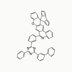 c1ccc(-c2cccc(-c3nc(-c4ccccc4)nc(-c4cccc(-c5nc6ccccc6c6cc7c(cc56)Oc5ccccc5C75c6ccccc6-c6ccccc65)c4)n3)c2)cc1